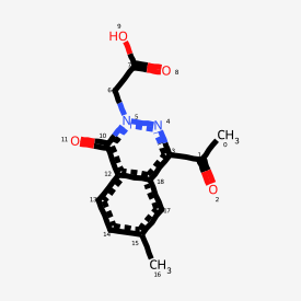 CC(=O)c1nn(CC(=O)O)c(=O)c2ccc(C)cc12